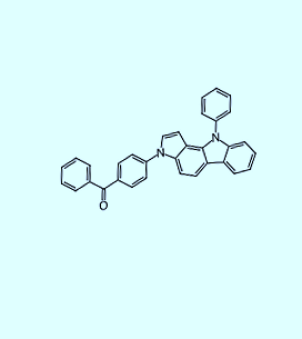 O=C(c1ccccc1)c1ccc(-n2ccc3c2ccc2c4ccccc4n(-c4ccccc4)c23)cc1